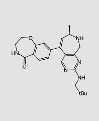 C[C@@H]1C=C(c2ccc3c(c2)OCCNC3=O)c2cnc(NCC(C)(C)C)nc2CN1